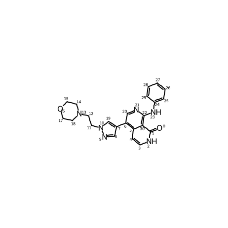 O=c1[nH]ccc2c(-c3cnn(CCN4CCOCC4)c3)cnc(Nc3ccccc3)c12